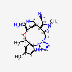 Cc1ccc2c(c1)[C@@H](C)Oc1cc(cnc1N)-c1c(nn(C)c1C#N)CN1N=NNN21